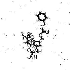 CNC(=O)N[C@@H]1C[C@H](COC(=O)OCc2ccccc2)C(OP(=O)(O)OC)[C@@H]1OC